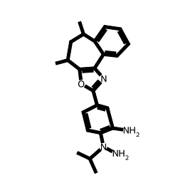 CC1CC(C)c2oc(-c3ccc(N(N)C(C)C)c(N)c3)nc2-c2ccccc21